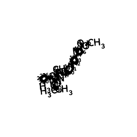 CCOC(=O)c1ccc(-c2ccc(N3CCC(Cc4nc(C)c(OCc5ccccc5)c(C(=O)OC(C)(C)C)n4)CC3)cc2)nc1